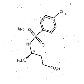 Cc1ccc(S(=O)(=O)N[C@@H](CCC(=O)O)C(=O)O)cc1.[NaH]